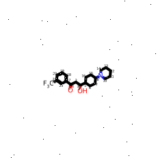 O=C(CC(O)C1CCC(N2CCCCC2)CC1)c1cccc(C(F)(F)F)c1